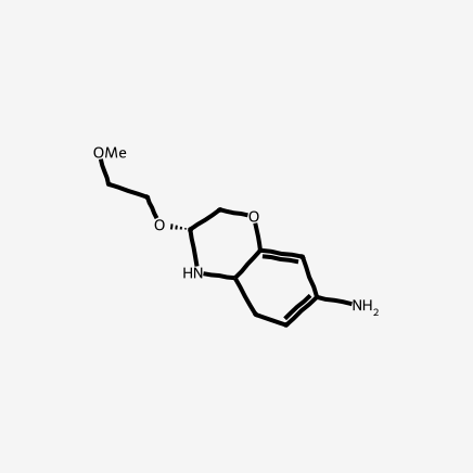 COCCO[C@@H]1COC2=CC(N)=CCC2N1